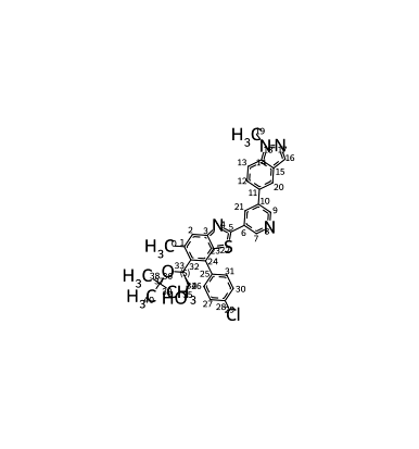 Cc1cc2nc(-c3cncc(-c4ccc5c(cnn5C)c4)c3)sc2c(-c2ccc(Cl)cc2)c1[C@@H](CO)OC(C)(C)C